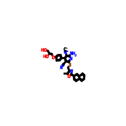 [C-]#[N+]c1c(N)nc(SCc2nc(-c3ccc4ccccc4c3)oc2C)c(C#N)c1-c1ccc(OC[C@@H](O)CO)cc1